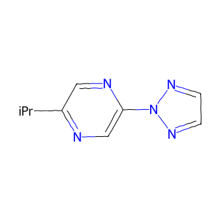 CC(C)c1cnc(-n2nccn2)cn1